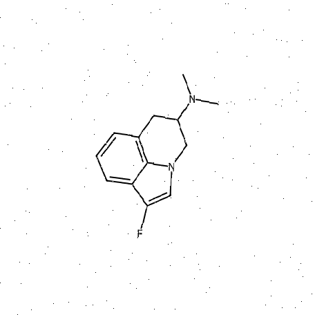 CN(C)C1Cc2cccc3c(F)cn(c23)C1